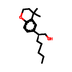 CCCCC[C@H](CO)c1ccc2c(c1)C(C)(C)CCO2